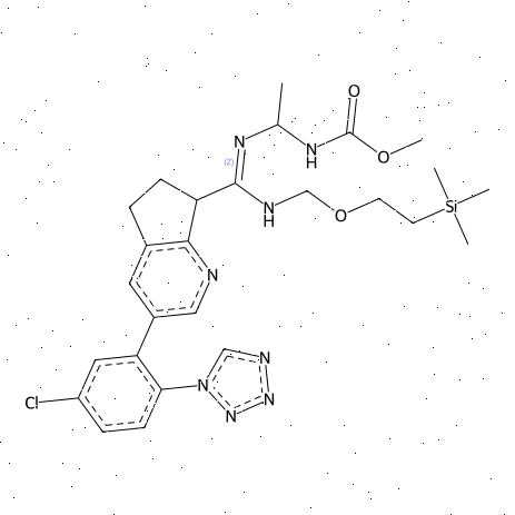 COC(=O)NC(C)/N=C(\NCOCC[Si](C)(C)C)C1CCc2cc(-c3cc(Cl)ccc3-n3cnnn3)cnc21